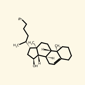 CC(C)CCCC(C)[C@H]1C[C@H](O)[C@H]2[C@@H]3CC=C4CCCC[C@]4(C)[C@H]3CC[C@@]21C